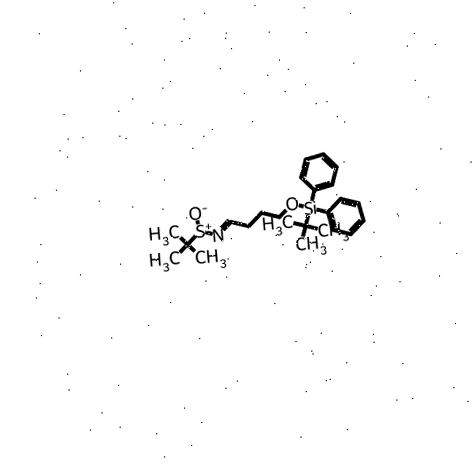 CC(C)(C)[S+]([O-])N=CCCCO[Si](c1ccccc1)(c1ccccc1)C(C)(C)C